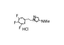 CNc1cnn(CCc2cc(F)c(F)c(F)c2)c1.Cl